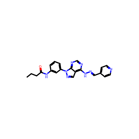 CCCC(=O)Nc1cccc(-n2ncc3c(N/N=C/c4ccncc4)ncnc32)c1